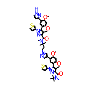 COc1cc2c(cc1-c1cnn(CCC(C)(C)N(C)C(=O)c3nn(-c4ccsc4)c4c3COc3cc(OC)c(-c5cc[nH]n5)cc3-4)c1)-c1c(c(C(=O)N(C)C(C)(C)C)nn1-c1ccsc1)CO2